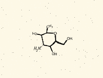 C[C@H]1OC(CO)C(O)[C@H](N)C1O